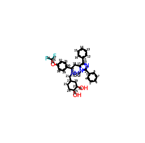 CCCCn1c(-c2ccccc2)nc(-c2ccccc2)c1CC(NCC1CCC(O)C(O)C1)c1ccc(OC(F)F)cc1